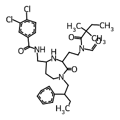 CCC(CN1CCC(CNC(=O)c2ccc(Cl)c(Cl)c2)NC(CCN(C=O)C(=O)C(C)(C)CC)C1=O)c1ccccc1